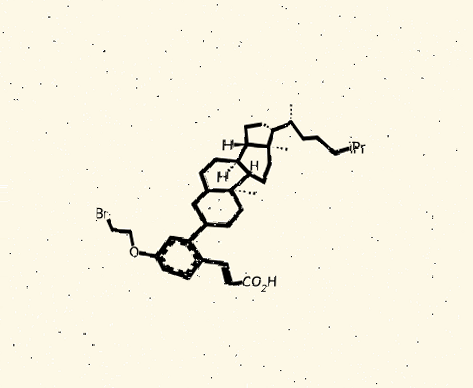 CC(C)CCC[C@@H](C)[C@H]1CC[C@H]2[C@@H]3CCC4CC(c5cc(OCCBr)ccc5/C=C/C(=O)O)CC[C@]4(C)[C@H]3CC[C@]12C